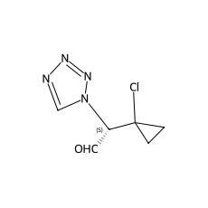 O=C[C@H](n1cnnn1)C1(Cl)CC1